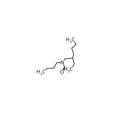 CCCCC(CC)CN(C=O)CCCC